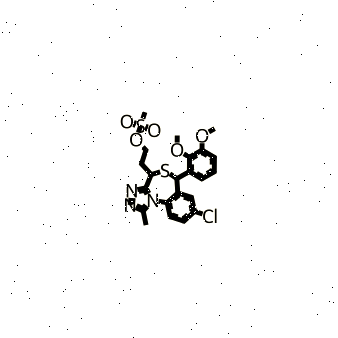 COc1cccc(C2SC(CCOS(C)(=O)=O)c3nnc(C)n3-c3ccc(Cl)cc32)c1OC